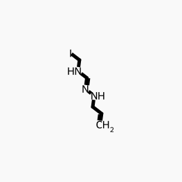 C=CCN/N=C/NCI